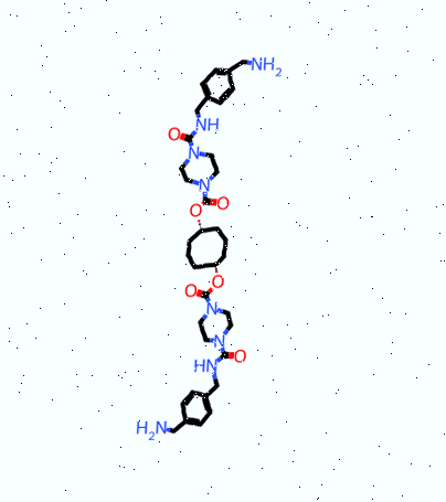 NCc1ccc(CNC(=O)N2CCN(C(=O)O[C@H]3CCC[C@@H](OC(=O)N4CCN(C(=O)NCc5ccc(CN)cc5)CC4)CCC3)CC2)cc1